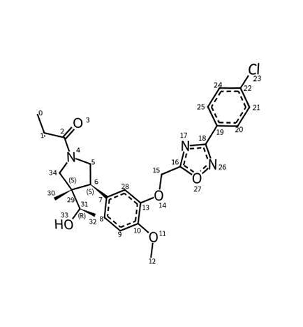 C[CH]C(=O)N1C[C@@H](c2ccc(OC)c(OCc3nc(-c4ccc(Cl)cc4)no3)c2)[C@](C)([C@@H](C)O)C1